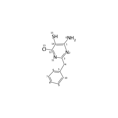 Nc1nc(Cc2ccccc2)nc(Cl)c1S